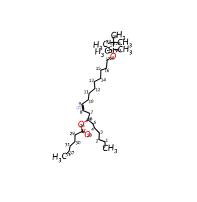 CCCCCC[C@H](C/C=C\CCCCCCCCO[Si](C)(C)C(C)(C)C)OC(=O)CCCCC